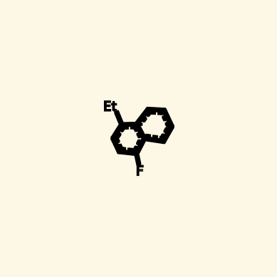 CCc1ccc(F)c2ccccc12